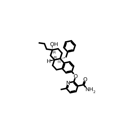 CCC[C@@]1(O)CC[C@@]2(Cc3ccccc3)c3ccc(Oc4nc(C)ccc4C(N)=O)cc3CC[C@@H]2C1